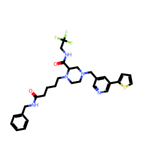 O=C(CCCCN1CCN(Cc2cncc(-c3cccs3)c2)CC1C(=O)NCC(F)(F)F)NCc1ccccc1